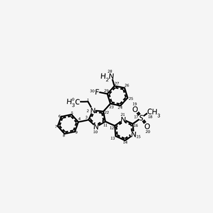 CCn1c(-c2ccccc2)nc(-c2ccnc(S(C)(=O)=O)n2)c1-c1cccc(N)c1F